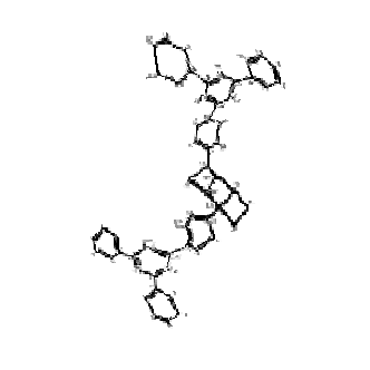 c1ccc(-c2nc(-c3ccccc3)nc(-c3ccc(C45C6C7C4C4C5C6C74c4ccc(-c5nc(-c6ccccc6)nc(C6CCCCC6)n5)cc4)cc3)n2)cc1